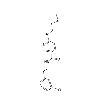 COCCNc1ccc(C(=O)NCCc2cccc(Cl)c2)cn1